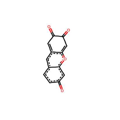 O=C1C=c2cc3ccc(=O)cc-3oc2=CC1=O